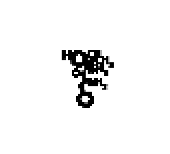 CC(C)(C#N)C1(NC(=O)C(N)CC2CCCCC2)CCNCC1